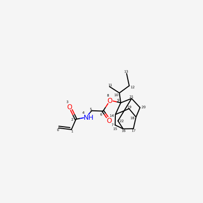 C=CC(=O)NCC(=O)OC1(C(C)CC)C2CC3CC(C2)CC1C3